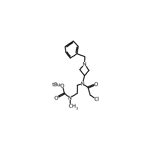 CN(CCN(C(=O)CCl)C1CN(Cc2ccccc2)C1)C(=O)OC(C)(C)C